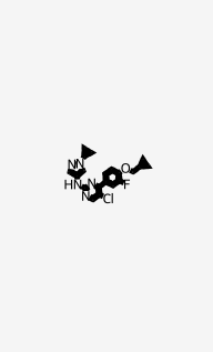 Fc1cc(-c2nc(Nc3cnn(C4CC4)c3)ncc2Cl)ccc1OCC1CC1